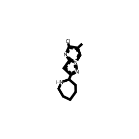 Cc1cn2nc(C3CCCCCN3)cc2nc1Cl